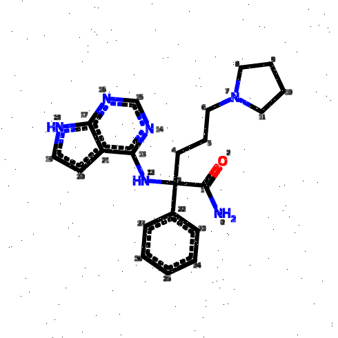 NC(=O)C(CCCN1CCCC1)(Nc1ncnc2[nH]ccc12)c1ccccc1